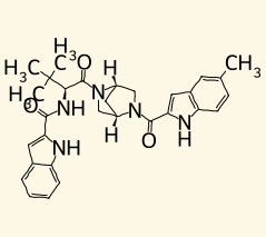 Cc1ccc2[nH]c(C(=O)N3C[C@@H]4C[C@H]3CN4C(=O)[C@@H](NC(=O)c3cc4ccccc4[nH]3)C(C)(C)C)cc2c1